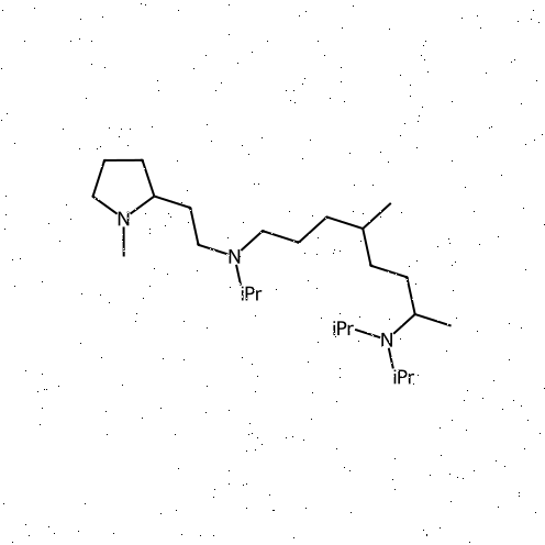 CC(CCCN(CCC1CCCN1C)C(C)C)CCC(C)N(C(C)C)C(C)C